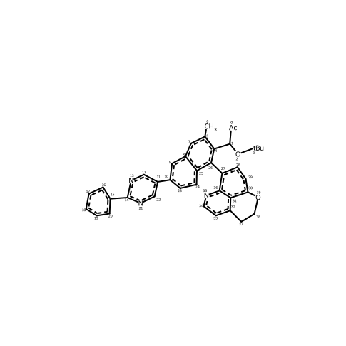 CC(=O)C(OC(C)(C)C)c1c(C)cc2cc(-c3cnc(-c4ccccc4)nc3)ccc2c1-c1ccc2c3c(ccnc13)CCO2